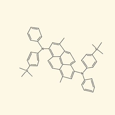 Cc1cc(N(c2ccccc2)c2ccc([Si](C)(C)C)cc2)c2ccc3c(C)cc(N(c4ccccc4)c4ccc([Si](C)(C)C)cc4)c4ccc1c2c34